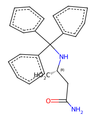 NC(=O)C[C@@H](NC(c1ccccc1)(c1ccccc1)c1ccccc1)C(=O)O